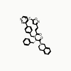 Cc1cc(C=CC(=O)N(Cc2ccc(-c3cccnn3)cc2)[C@@H](Cc2ccccc2)C(=O)N2CCc3ccccc3C2)no1